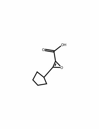 O=C(O)C1=C(C2CCCC2)O1